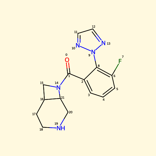 O=C(c1cccc(F)c1-n1nccn1)N1CC2CCNCC21